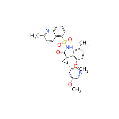 COc1cncc([C@@H]2C[C@]2(C(=O)NS(=O)(=O)c2cccc3nc(C)ccc23)c2cc(C)ccc2OC)c1